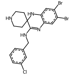 Clc1cccc(CNC2=Nc3cc(Br)c(Br)cc3NC23CCNCC3)c1